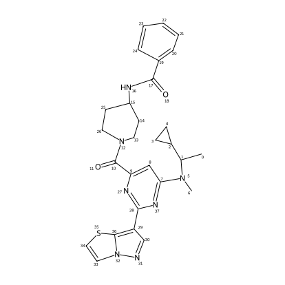 CC(C1CC1)N(C)c1cc(C(=O)N2CCC(NC(=O)c3ccccc3)CC2)nc(-c2cnn3ccsc23)n1